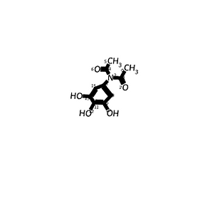 CC(=O)N(C(C)=O)c1cc(O)c(O)c(O)c1